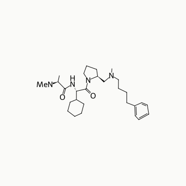 CN[C@@H](C)C(=O)N[C@H](C(=O)N1CCC[C@H]1CN(C)CCCCc1ccccc1)C1CCCCC1